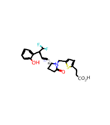 O=C(O)CCc1ccc(CN2C(=O)CC[C@@H]2/C=C/C(c2ccccc2O)C(F)F)s1